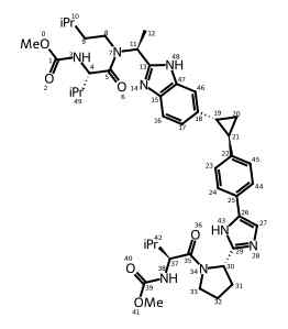 COC(=O)N[C@H](C(=O)N(CCC(C)C)[C@@H](C)c1nc2ccc([C@@H]3C[C@H]3c3ccc(-c4cnc([C@@H]5CCCN5C(=O)[C@@H](NC(=O)OC)C(C)C)[nH]4)cc3)cc2[nH]1)C(C)C